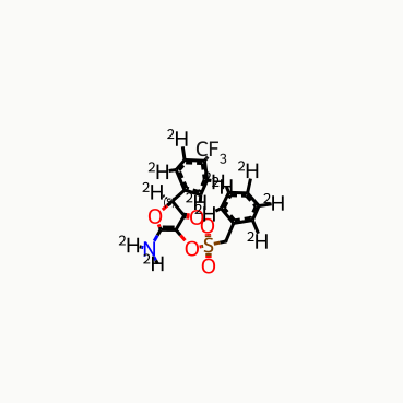 [2H]c1c([2H])c([2H])c(CS(=O)(=O)OC2=C(N([2H])[2H])O[C@@]([2H])(c3c([2H])c([2H])c(C(F)(F)F)c([2H])c3[2H])C2=O)c([2H])c1[2H]